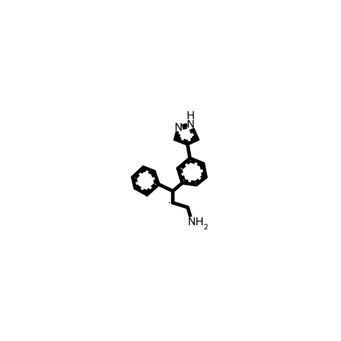 NC[CH]C(c1ccccc1)c1cccc(-c2cn[nH]c2)c1